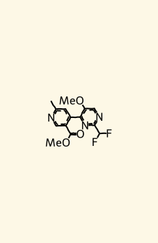 COC(=O)c1cnc(C)cc1-c1nc(C(F)F)ncc1OC